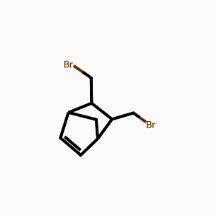 BrCC1C2C=CC(C2)C1CBr